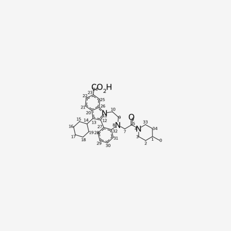 CC1CCN(C(=O)CN2CCn3c(c(C4CCCCC4)c4ccc(C(=O)O)cc43)-c3ccccc32)CC1